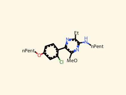 CCCCCNc1nc(OC)c(-c2ccc(OCCCCC)cc2Cl)nc1CC